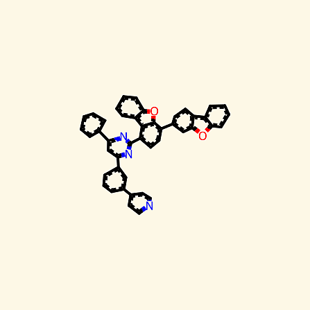 c1ccc(-c2cc(-c3cccc(-c4ccncc4)c3)nc(-c3ccc(-c4ccc5c(c4)oc4ccccc45)c4oc5ccccc5c34)n2)cc1